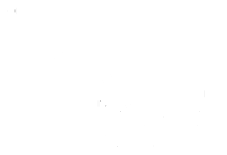 Cc1ccc(NC(=O)C2(c3ccc4c(c3)OC(F)(F)O4)CC2)cc1-c1ccc(CO)cc1